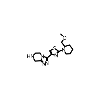 COCC1CCCCN1c1nc(-c2nnc3n2CCNC3)cs1